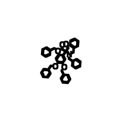 O=CC(C(=O)OCc1ccccc1)(c1ccc(OCc2ccccc2)c(OCc2ccccc2)c1)N(Cc1ccccc1)Cc1ccccc1